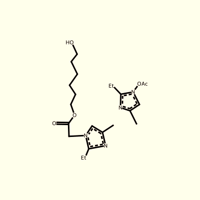 CCc1nc(C)cn1CC(=O)OCCCCCCO.CCc1nc(C)cn1OC(C)=O